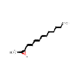 CCCCCCCCCCCCCC=CC=CC=CC1=C(C(=O)O)O1